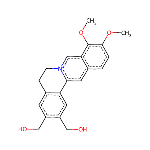 COc1ccc2cc3[n+](cc2c1OC)CCc1cc(CO)c(CO)cc1-3